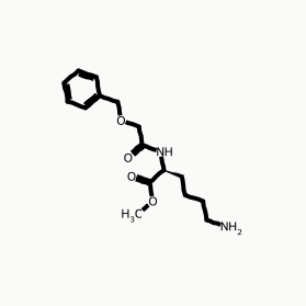 COC(=O)[C@H](CCCCN)NC(=O)COCc1ccccc1